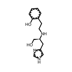 OC[C@H](Cc1c[nH]cn1)NCCc1ccccc1O